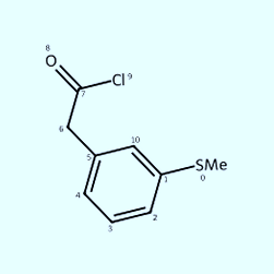 CSc1cccc(CC(=O)Cl)c1